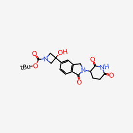 CC(C)(C)OC(=O)N1CC(O)(c2ccc3c(c2)CN(C2CCC(=O)NC2=O)C3=O)C1